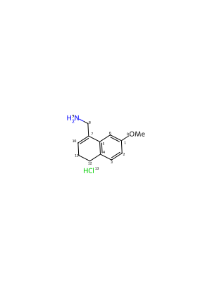 COc1ccc2c(c1)C(CN)=CCC2.Cl